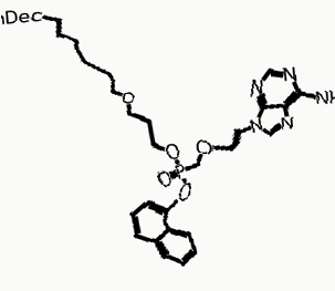 CCCCCCCCCCCCCCCCOCCCOP(=O)(COCCn1cnc2c(N)ncnc21)Oc1cccc2ccccc12